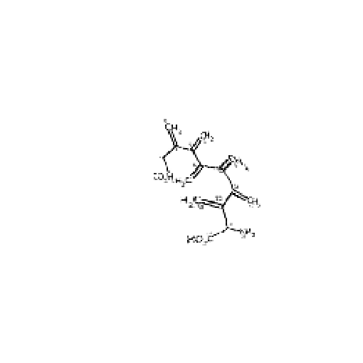 C=C(CC(=O)O)C(=C)C(=C)C(=C)C(=C)C(=C)C(N)C(=O)O